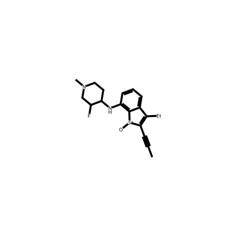 CC#Cc1c(CC)c2cccc(NC3CCN(C)CC3F)c2[s+]1[O-]